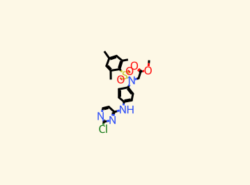 COC(=O)CN(c1ccc(Nc2ccnc(Cl)n2)cc1)S(=O)(=O)c1c(C)cc(C)cc1C